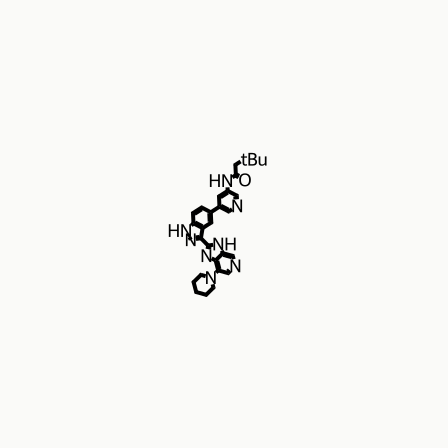 CC(C)(C)CC(=O)Nc1cncc(-c2ccc3[nH]nc(-c4nc5c(N6CCCCC6)cncc5[nH]4)c3c2)c1